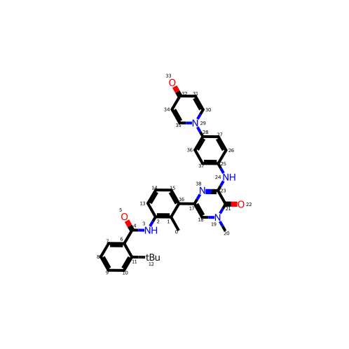 Cc1c(NC(=O)c2ccccc2C(C)(C)C)cccc1-c1cn(C)c(=O)c(Nc2ccc(-n3ccc(=O)cc3)cc2)n1